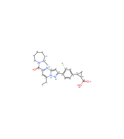 CCc1cc(C(=O)N2CCCCCC2C)nc2cc(-c3ccc(C4CC4C(=O)O)cc3F)nn12